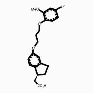 COc1cc(Br)ccc1OCCCOc1ccc2c(c1)CC[C@H]2CC(=O)O